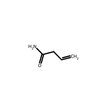 C=C[CH]C(N)=O